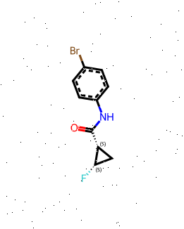 O=C(Nc1ccc(Br)cc1)[C@@H]1C[C@@H]1F